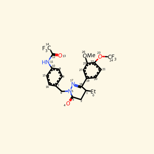 CCC1CC(=O)N(Cc2ccc(NC(=O)C(F)(F)F)cc2)N=C1c1ccc(OC(F)(F)F)c(OC)c1